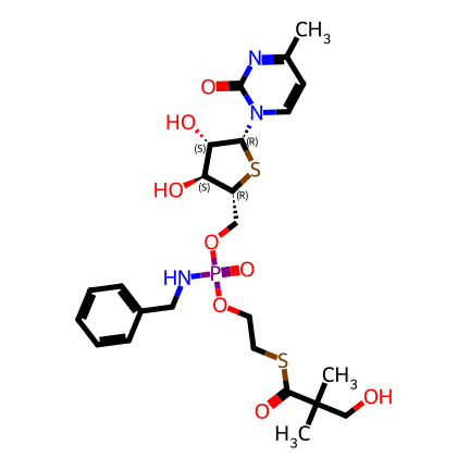 Cc1ccn([C@@H]2S[C@H](COP(=O)(NCc3ccccc3)OCCSC(=O)C(C)(C)CO)[C@@H](O)[C@@H]2O)c(=O)n1